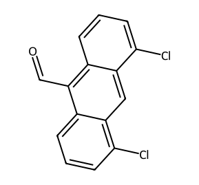 O=Cc1c2cccc(Cl)c2cc2c(Cl)cccc12